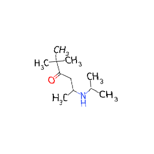 CC(C)NC(C)CC(=O)C(C)(C)C